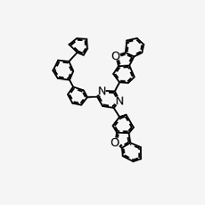 c1ccc(-c2cccc(-c3cccc(-c4cc(-c5ccc6c(c5)oc5ccccc56)nc(-c5ccc6c(c5)oc5ccccc56)n4)c3)c2)cc1